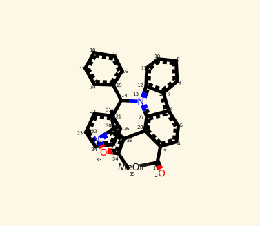 COC(=O)c1ccc2c3ccccc3n(C(c3ccccc3)c3ccccc3)c2c1-c1c(C)noc1C